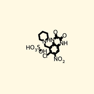 O=S(=O)(O)O.O=c1[nH]c2cc([N+](=O)[O-])c(Cl)c(CN3CCCCC3)c2[nH]c1=O